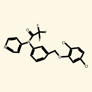 O=C(N(c1ccncc1)c1cccc(COc2cc(Cl)ccc2Cl)c1)C(F)(F)F